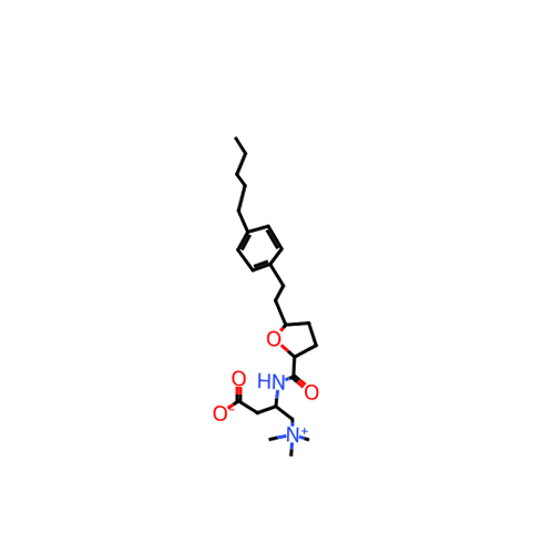 CCCCCc1ccc(CCC2CCC(C(=O)NC(CC(=O)[O-])C[N+](C)(C)C)O2)cc1